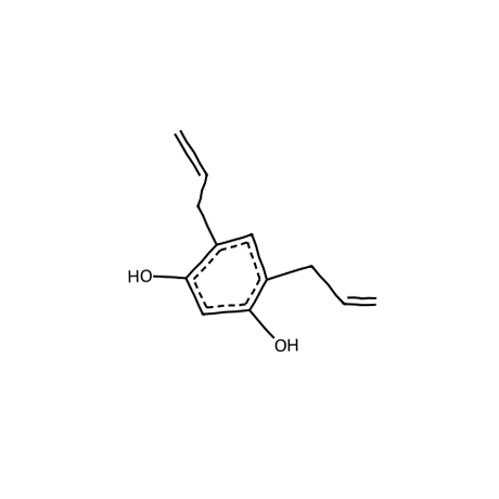 C=CCc1cc(CC=C)c(O)cc1O